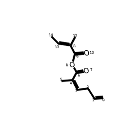 C=CCC=C(C)C(=O)OC(=O)C(C)=CC